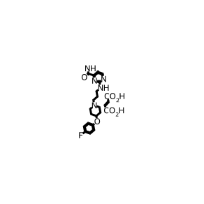 NC(=O)c1ccnc(NCCCN2CCC(Oc3ccc(F)cc3)CC2)n1.O=C(O)C=CC(=O)O